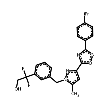 Cc1cc(-c2nc(-c3ccc(C(C)C)cc3)no2)nn1Cc1cccc(C(F)(F)CO)c1